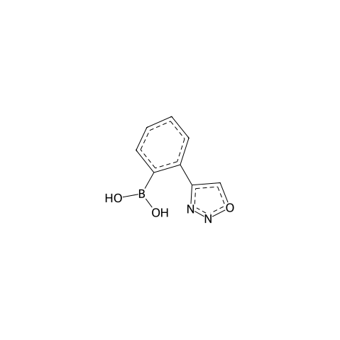 OB(O)c1ccccc1-c1conn1